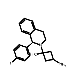 CC1(N2CCc3ccccc3[C@@H]2c2ccc(F)cc2)CC(N)C1